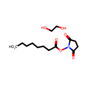 O=C(O)CCCCCCC(=O)ON1C(=O)CCC1=O.OCCO